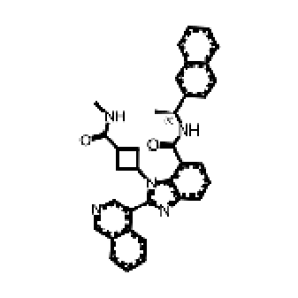 CNC(=O)C1CC(n2c(-c3cncc4ccccc34)nc3cccc(C(=O)N[C@@H](C)c4ccc5ccccc5c4)c32)C1